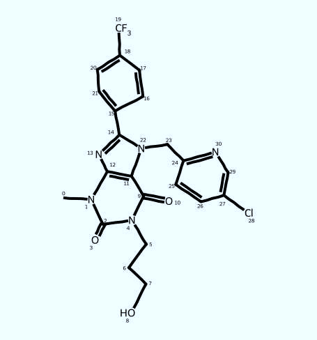 Cn1c(=O)n(CCCO)c(=O)c2c1nc(-c1ccc(C(F)(F)F)cc1)n2Cc1ccc(Cl)cn1